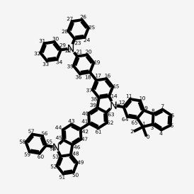 CC1(C)c2ccccc2-c2ccc(-n3c4ccc(-c5ccc(N(c6ccccc6)c6ccccc6)cc5)cc4c4cc(-c5ccc6c(c5)c5ccccc5n6-c5ccccc5)ccc43)cc21